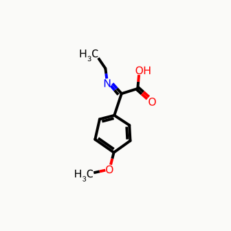 CCN=C(C(=O)O)c1ccc(OC)cc1